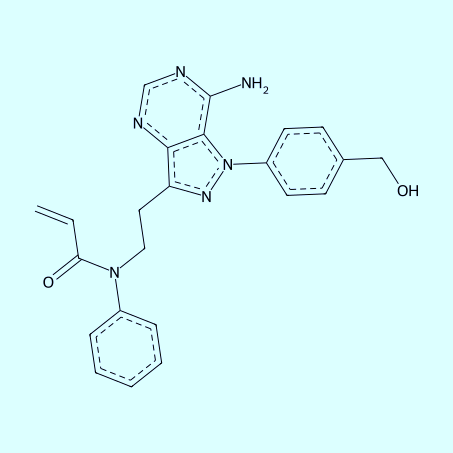 C=CC(=O)N(CCc1nn(-c2ccc(CO)cc2)c2c(N)ncnc12)c1ccccc1